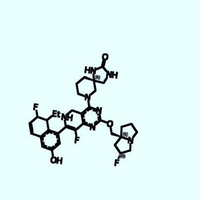 CCC1c2c(cc(O)cc2C2=C(F)c3nc(OC[C@@]45CCCN4C[C@H](F)C5)nc(N4CCC[C@@]5(CNC(=O)N5)C4)c3CN2)C=CC1F